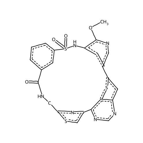 COc1ncc2cc1NS(=O)(=O)c1cccc(c1)C(=O)NCc1nc(cs1)-c1ncnc3cc-2sc13